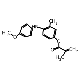 C=C(C)C(=O)Oc1ccc(Nc2ccc(OC)cc2)c(C)c1